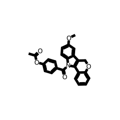 COc1ccc2c(c1)c1c(n2C(=O)c2ccc(OC(C)=O)cc2)-c2ccccc2OC1